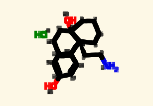 Cl.NCC[C@]12CCCC[C@@]1(O)CCc1cc(O)ccc12